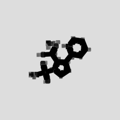 NS(=O)(=O)n1ccc(-c2ccccn2)c1C(=O)[O-].[Na+]